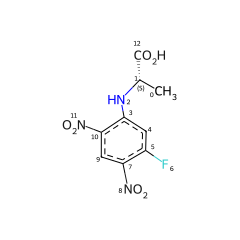 C[C@H](Nc1cc(F)c([N+](=O)[O-])cc1[N+](=O)[O-])C(=O)O